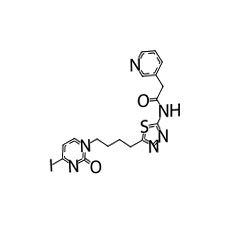 O=C(Cc1cccnc1)Nc1nnc(CCCCn2ccc(I)nc2=O)s1